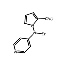 CCN(c1ccncc1)n1cccc1C=O